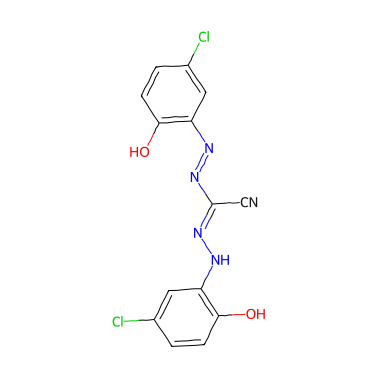 N#CC(/N=N/c1cc(Cl)ccc1O)=N\Nc1cc(Cl)ccc1O